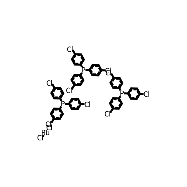 Clc1ccc(P(c2ccc(Cl)cc2)c2ccc(Cl)cc2)cc1.Clc1ccc(P(c2ccc(Cl)cc2)c2ccc(Cl)cc2)cc1.Clc1ccc(P(c2ccc(Cl)cc2)c2ccc(Cl)cc2)cc1.[Cl][Ru][Cl]